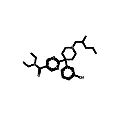 CCCC(C)CN1CCC(c2cccc(O)c2)(c2ncc(C(=O)N(CC)CC)cn2)CC1